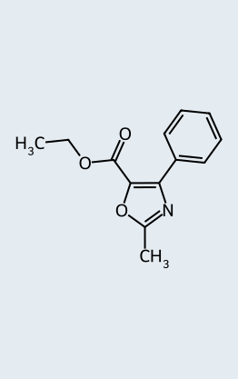 CCOC(=O)c1oc(C)nc1-c1ccccc1